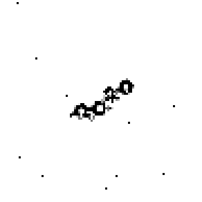 Cc1ccc2c3c(oc2n1)=CN(C)B(N1C=CN(c2ccccc2)C1(C)C)C=3